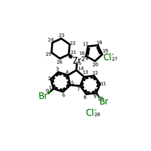 Brc1ccc2c(c1)-c1cc(Br)ccc1[CH]2[Zr+2]([C]1=CC=CC1)=[C]1CCCCC1.[Cl-].[Cl-]